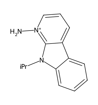 CC(C)n1c2ccccc2c2ccc[n+](N)c21